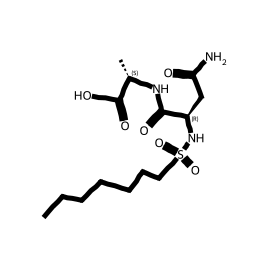 CCCCCCCS(=O)(=O)N[C@H](CC(N)=O)C(=O)N[C@@H](C)C(=O)O